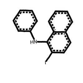 Ic1ccc2ccccc2c1Nc1ccccc1